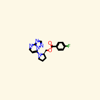 O=C(OC[C@H]1CCCN1c1ccnc2ncnn12)c1ccc(F)cc1